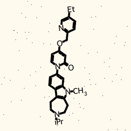 CCc1ccc(COc2ccn(-c3ccc4c5c(n(C)c4c3)CCN(C(C)C)CC5)c(=O)c2)nc1